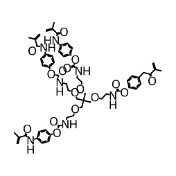 C=C(C)C(=O)Cc1ccc(OC(=O)NCCOCC(COCCNC(=O)Oc2ccc(NC(=O)C(=C)C)cc2)(COCCNC(=O)Oc2ccc(NC(=O)C(=C)C)cc2)COCCNC(=O)Oc2ccc(NC(=O)C(=C)C)cc2)cc1